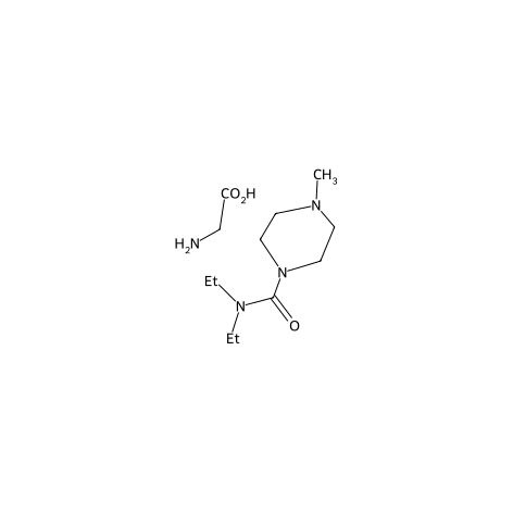 CCN(CC)C(=O)N1CCN(C)CC1.NCC(=O)O